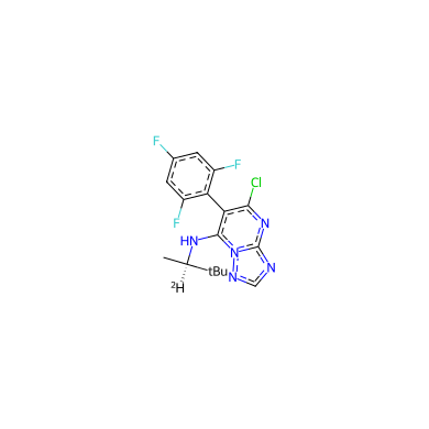 [2H][C@](C)(Nc1c(-c2c(F)cc(F)cc2F)c(Cl)nc2ncnn12)C(C)(C)C